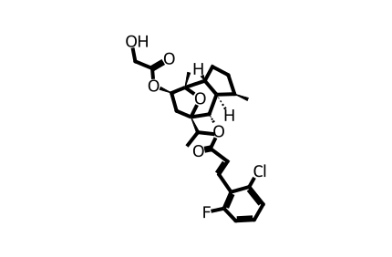 CC(C)[C@@]12C[C@@H](OC(=O)CO)[C@@](C)(O1)[C@@H]1CC[C@@H](C)[C@H]1[C@@H]2OC(=O)/C=C/c1c(F)cccc1Cl